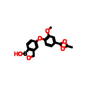 COc1cc(C2OC(C)O2)ccc1Oc1ccc2c(c1)COB2O